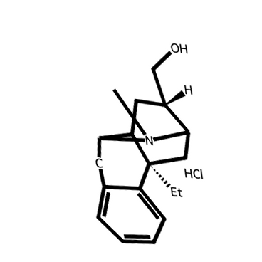 CC[C@@]12CC3[C@@H](CO)CC1C(Cc1ccccc12)N3C.Cl